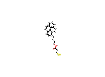 O=C(CCS)OCCCCc1ccc2c3c1CC=C1C=CC=C(C=C2)C13